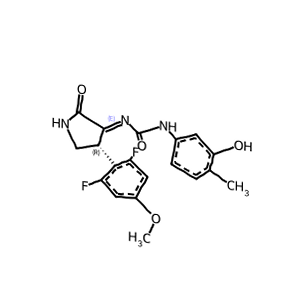 COc1cc(F)c([C@@H]2CNC(=O)/C2=N/C(=O)Nc2ccc(C)c(O)c2)c(F)c1